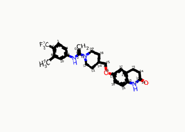 C=C(Nc1ccc(C(F)(F)F)c(C)c1)N1CCC(COc2ccc3c(c2)CCC(=O)N3)CC1